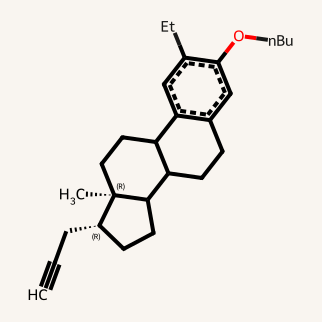 C#CC[C@H]1CCC2C3CCc4cc(OCCCC)c(CC)cc4C3CC[C@@]21C